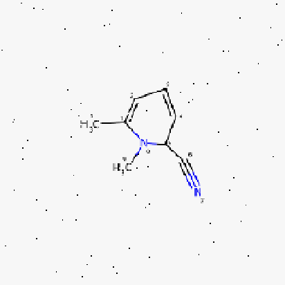 CC1=CC=CC(C#N)N1C